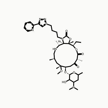 CC[C@H]1OC(=O)[C@H](C)C(=O)C[C@@H](O[C@@H]2OC(C)CC(N(C)C)C2O)[C@](C)(OC)C[C@@H](C)CN[C@H](C)[C@H]2N(CCCCn3cc(-c4ccccn4)nn3)C(=O)O[C@]12C